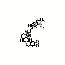 CCN(CC)S(=O)(=O)NCCCS(=O)(=O)N1CCC[C@H]2CN3CCc4cc5c(cc4[C@@H]3C[C@H]21)OCO5